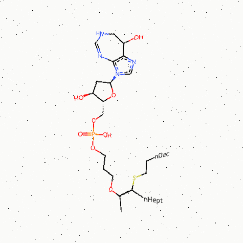 CCCCCCCCCCCCSC(CCCCCCC)C(C)OCCCOP(=O)(O)OC[C@H]1O[C@H](n2cnc3c2N=CNCC3O)C[C@@H]1O